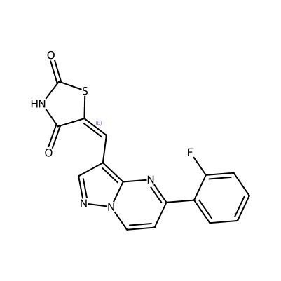 O=C1NC(=O)/C(=C\c2cnn3ccc(-c4ccccc4F)nc23)S1